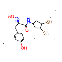 O=C(NC1CC(S)C(S)C1)/C(Cc1ccc(O)cc1)=N/O